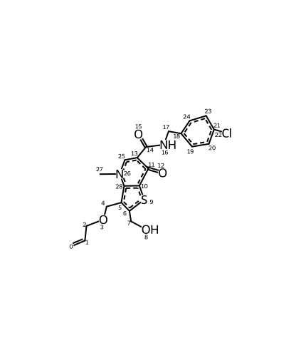 C=CCOCc1c(CO)sc2c(=O)c(C(=O)NCc3ccc(Cl)cc3)cn(C)c12